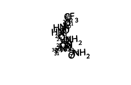 NC(=O)CCn1nc(N)c2c(-c3ccc(NC(=O)Nc4cccc(C(F)(F)F)c4)cc3)cc(C3CC3)nc21